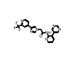 O=C(Cn1cnc(-c2ccnc(C(F)(F)F)c2)c1)Nc1ncccc1-c1cncnc1